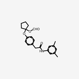 Cc1cc(C)cc(NC(=O)Cc2ccc(OC3(OC=O)CCCC3)cc2)c1